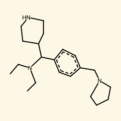 CCN(CC)C(c1ccc(CN2CCCC2)cc1)C1CCNCC1